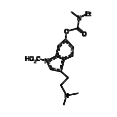 CCN(C)C(=O)Oc1ccc2c(CCN(C)C)cn(C(=O)O)c2c1